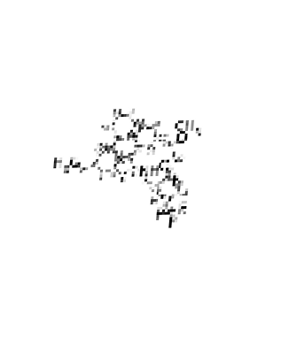 CCCCC1CC(NCc2cc(C(F)(F)F)cnc2OCCOC)C(c2ccccc2)N1C(=O)C1CCCCC1